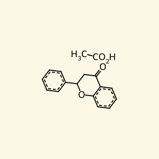 CC(=O)O.O=C1CC(c2ccccc2)Oc2ccccc21